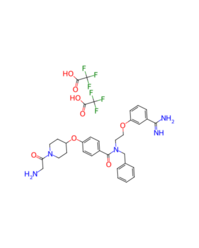 N=C(N)c1cccc(OCCN(Cc2ccccc2)C(=O)c2ccc(OC3CCN(C(=O)CN)CC3)cc2)c1.O=C(O)C(F)(F)F.O=C(O)C(F)(F)F